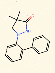 CC1(C)CN(c2ccccc2-c2ccccc2)NC1=O